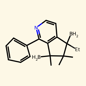 BC1(C)c2c(ccnc2-c2ccccc2)C(B)(CC)C1(C)C